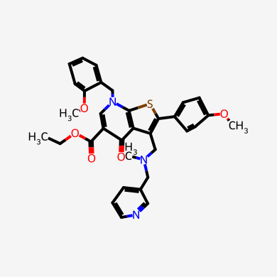 CCOC(=O)c1cn(Cc2ccccc2OC)c2sc(-c3ccc(OC)cc3)c(CN(C)Cc3cccnc3)c2c1=O